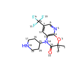 CC1(C)Oc2ncc(C(F)(F)F)cc2N(C2CCNCC2)C1=O